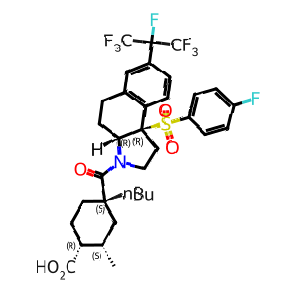 CCCC[C@]1(C(=O)N2CC[C@@]3(S(=O)(=O)c4ccc(F)cc4)c4ccc(C(F)(C(F)(F)F)C(F)(F)F)cc4CC[C@@H]23)CC[C@@H](C(=O)O)[C@@H](C)C1